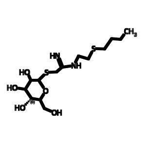 CCCCSCCNC(=N)CSC1OC(CO)[C@H](O)C(O)C1O